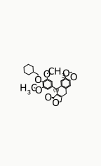 COc1cc([C@@H]2C3=C(COC3=O)Cc3cc4c(cc32)OCO4)cc(OC)c1OCC1CCCCC1